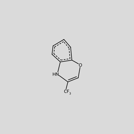 FC(F)(F)C1=COc2ccccc2N1